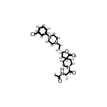 CC(=O)N[C@@H](C)C(=O)N1CCC2(CC1)C[C@H](CCN1CCN(c3cccc(Cl)c3)CC1)OC2=O